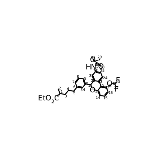 CCOC(=O)C(C)CCCc1cccc(C2Oc3cccc(OC(F)F)c3-c3ccc(NS(C)(=O)=O)cc32)c1